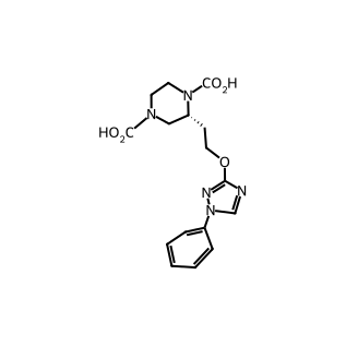 O=C(O)N1CCN(C(=O)O)[C@H](CCOc2ncn(-c3ccccc3)n2)C1